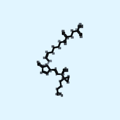 CCCCC1([C@H](O)/C=C/[C@H]2C=CC(=O)[C@@H]2C/C=C\CCCCOC(=O)CCC(=O)O)CC1